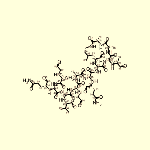 CNC(=O)[C@H](C)NC(=O)[C@H](C)NC(=O)[C@@H](NC(=O)[C@@H](NC(=O)[C@@H](NC(=O)[C@H](C)NC(=O)[C@H](NCC=O)NC(=O)[C@@H](NC(=O)[C@@H](NC(=O)[C@@H](N)NCC=O)N[C@@H](C=O)CCC(N)=O)N[C@@H](C=O)C(C)C)N[C@@H](C=O)CCC(N)=O)N[C@@H](C=O)CC(C)C)N[C@@H](C)C=O